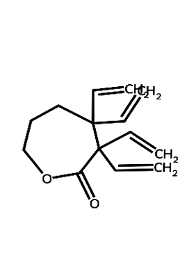 C=CC1(C=C)CCCOC(=O)C1(C=C)C=C